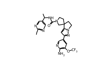 Cc1ncc(C(C)NC(=O)N2CCC3(CCn4nc(-c5cnc(N)c(OC(F)(F)F)c5)cc43)C2)cn1